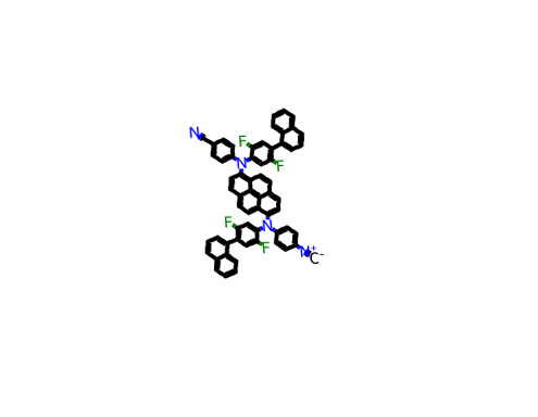 [C-]#[N+]c1ccc(N(c2cc(F)c(-c3cccc4ccccc34)cc2F)c2ccc3ccc4c(N(c5ccc(C#N)cc5)c5cc(F)c(-c6cccc7ccccc67)cc5F)ccc5ccc2c3c54)cc1